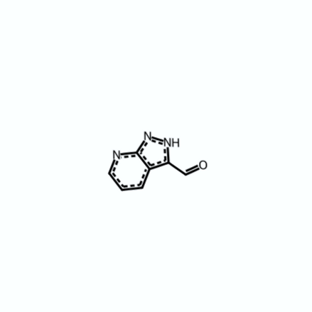 O=Cc1[nH]nc2ncccc12